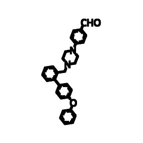 O=Cc1ccc(N2CCN(Cc3ccccc3-c3ccc(Oc4ccccc4)cc3)CC2)cc1